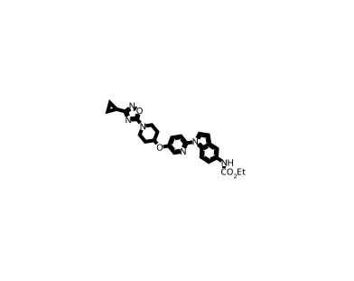 CCOC(=O)Nc1ccc2c(ccn2-c2ccc(OC3CCN(c4nc(C5CC5)no4)CC3)cn2)c1